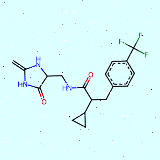 C=C1NC(=O)C(CNC(=O)C(Cc2ccc(C(F)(F)F)cc2)C2CC2)N1